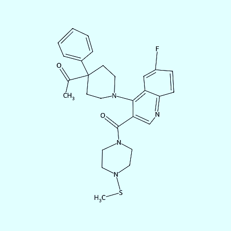 CSN1CCN(C(=O)c2cnc3ccc(F)cc3c2N2CCC(C(C)=O)(c3ccccc3)CC2)CC1